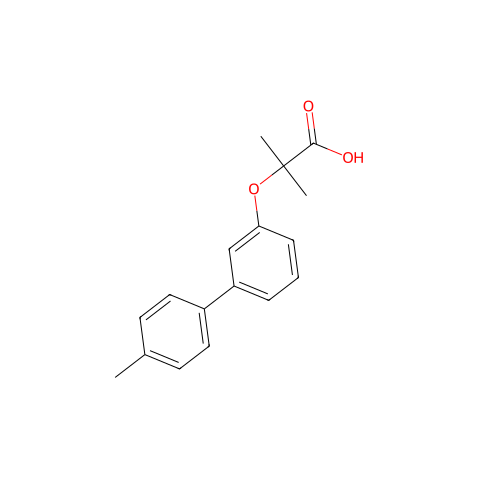 Cc1ccc(-c2cccc(OC(C)(C)C(=O)O)c2)cc1